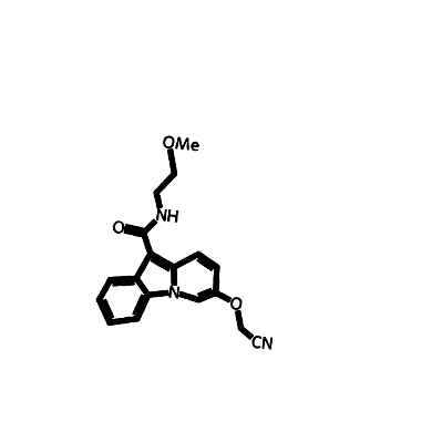 COCCNC(=O)c1c2ccccc2n2cc(OCC#N)ccc12